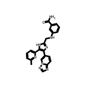 Cc1cccc(-c2[nH]c(CNc3cccc(C(N)=O)c3)nc2-c2ccc3ncnn3c2)n1